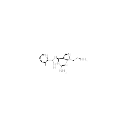 Cc1cccnc1C1N=C2c3cnn(CCN)c3N=C(N)N2N1